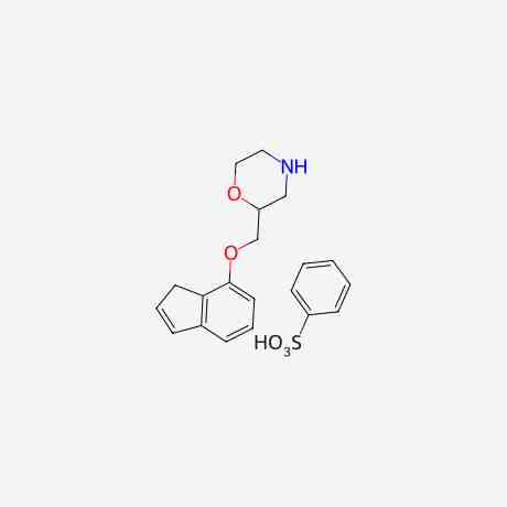 C1=Cc2cccc(OCC3CNCCO3)c2C1.O=S(=O)(O)c1ccccc1